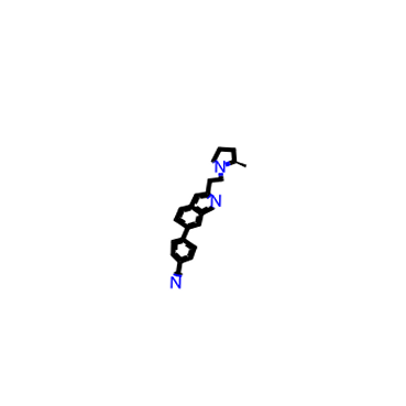 C[C@@H]1CCCN1CCc1cc2ccc(-c3ccc(C#N)cc3)cc2cn1